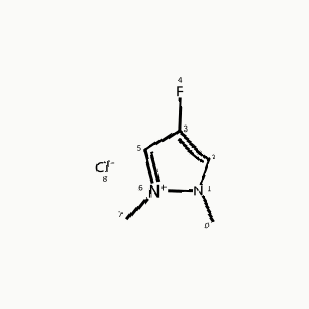 Cn1cc(F)c[n+]1C.[Cl-]